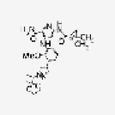 COc1c(Nc2cc(NC(=O)[C@H]3CC3(C)C)ncc2C(N)=O)cccc1-c1cnn(C2CCC23OCCO3)c1